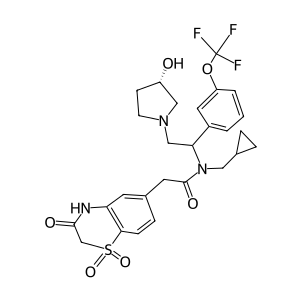 O=C1CS(=O)(=O)c2ccc(CC(=O)N(CC3CC3)C(CN3CC[C@H](O)C3)c3cccc(OC(F)(F)F)c3)cc2N1